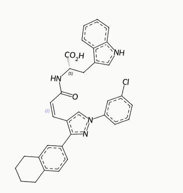 O=C(/C=C\c1cn(-c2cccc(Cl)c2)nc1-c1ccc2c(c1)CCCC2)N[C@@H](Cc1c[nH]c2ccccc12)C(=O)O